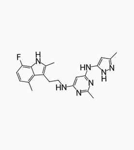 Cc1cc(Nc2cc(NCCc3c(C)[nH]c4c(F)ccc(C)c34)nc(C)n2)[nH]n1